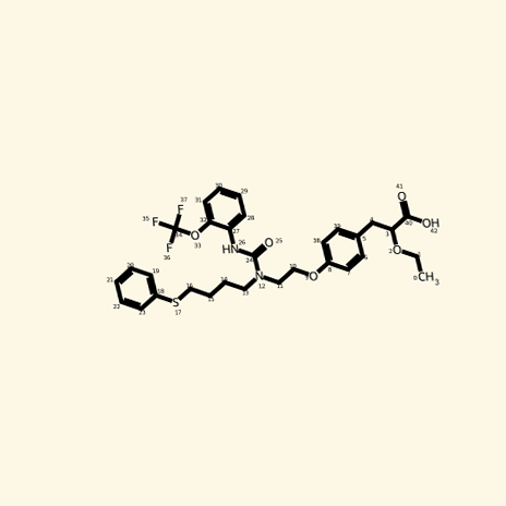 CCOC(Cc1ccc(OCCN(CCCCSc2ccccc2)C(=O)Nc2ccccc2OC(F)(F)F)cc1)C(=O)O